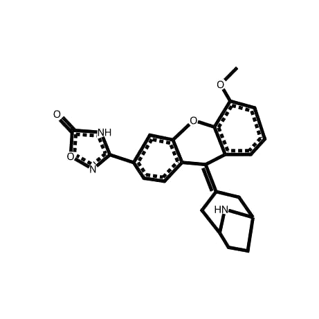 COc1cccc2c1Oc1cc(-c3noc(=O)[nH]3)ccc1C2=C1CC2CCC(C1)N2